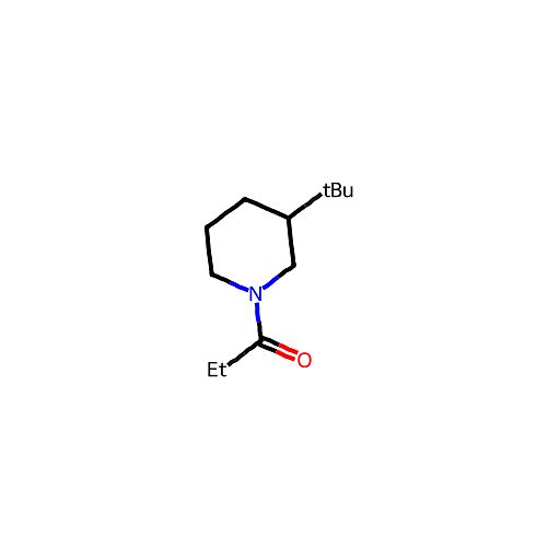 CCC(=O)N1CCCC(C(C)(C)C)C1